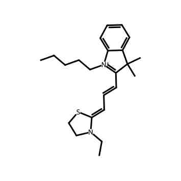 CCCCC[N+]1=C(/C=C/C=C2\SCCN2CC)C(C)(C)c2ccccc21